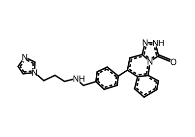 O=c1[nH]nc2cc(-c3ccc(CNCCCn4ccnc4)cc3)c3ccccc3n12